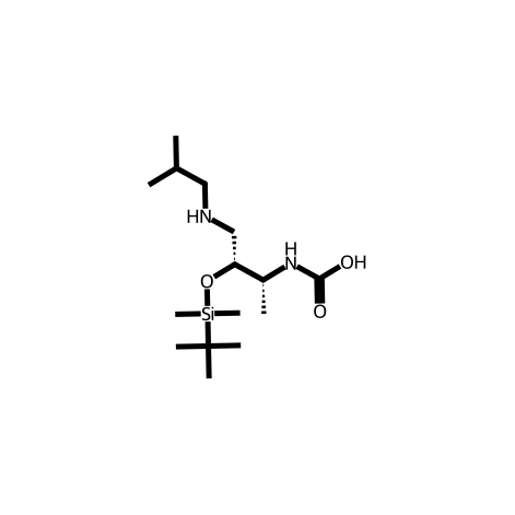 CC(C)CNC[C@@H](O[Si](C)(C)C(C)(C)C)[C@@H](C)NC(=O)O